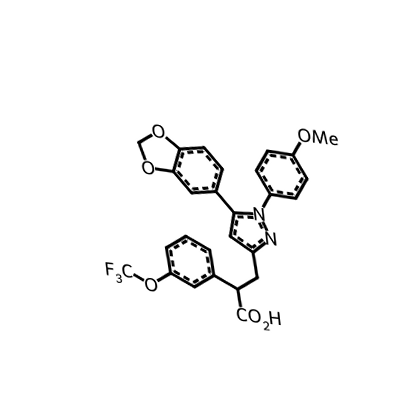 COc1ccc(-n2nc(CC(C(=O)O)c3cccc(OC(F)(F)F)c3)cc2-c2ccc3c(c2)OCO3)cc1